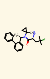 CC(C)(F)C[C@H](N)C(=O)N([C@@H](c1ccccc1-c1ccccc1)C(F)(F)F)C1(C#N)CC1